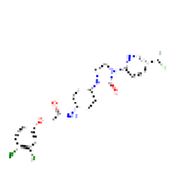 O=C(COc1ccc(F)c(F)c1)NC1CCC(N2CCN(c3ccc(C(F)F)cn3)C2=O)CC1